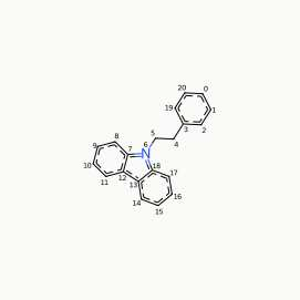 c1ccc(CCn2c3ccccc3c3ccccc32)cc1